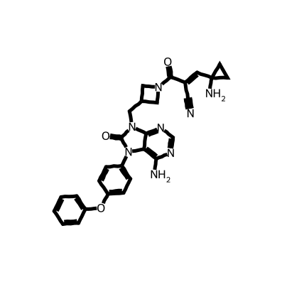 N#C/C(=C\C1(N)CC1)C(=O)N1CC(Cn2c(=O)n(-c3ccc(Oc4ccccc4)cc3)c3c(N)ncnc32)C1